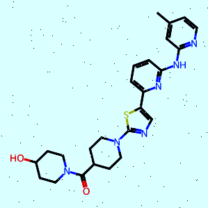 Cc1ccnc(Nc2cccc(-c3cnc(N4CCC(C(=O)N5CCC(O)CC5)CC4)s3)n2)c1